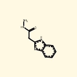 NNC(=O)Cc1nc2ccccc2[nH]1